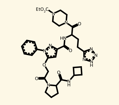 CCOC(=O)N1CCN(C(=O)C(CCc2nn[nH]n2)NC(=O)c2cc(OCC(=O)N3CCCC3C(=O)NC3CCC3)n(-c3ccccc3)n2)CC1